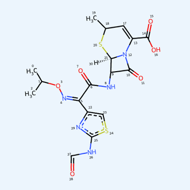 CC(C)O/N=C(\C(=O)NC1C(=O)N2C(C(=O)O)=CC(C)S[C@H]12)c1csc(NC=O)n1